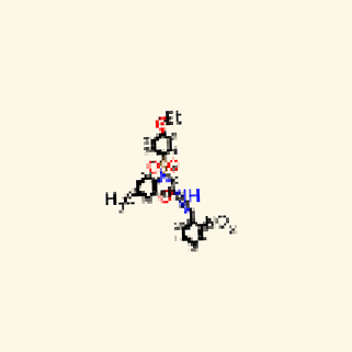 CCOc1ccc(S(=O)(=O)N(CC(=O)NN=Cc2ccccc2[N+](=O)[O-])c2ccc(C)cc2)cc1